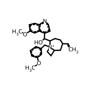 C=CC1CCC(C(O)c2ccnc3ccc(OC)cc23)[N+]2(Cc3cccc(OC)c3)CCC2C1